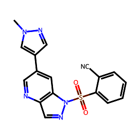 Cn1cc(-c2cnc3cnn(S(=O)(=O)c4ccccc4C#N)c3c2)cn1